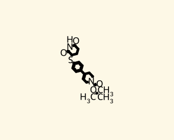 CC(C)(C)OC(=O)N1CC=C(c2ccc(SC3CCC(=O)NC3=O)cc2)CC1